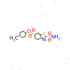 Cc1ccc(OS(=O)(=O)c2ccc3nc(S(N)(=O)=O)sc3c2)cc1